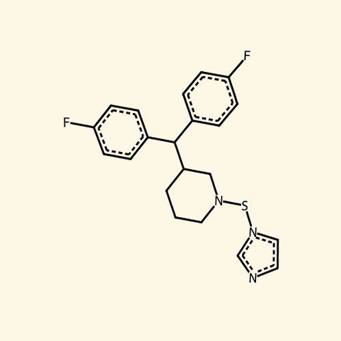 Fc1ccc(C(c2ccc(F)cc2)C2CCCN(Sn3ccnc3)C2)cc1